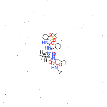 CC1(C)[C@@H]2[C@@H](C(=O)NC(CCCF)C(=O)C(=O)NC3CC3)N(C(=O)[C@@H](NC(=O)NC3(CS(=O)(=O)C(C)(C)C)CCCCC3)C3CCCCC3)C[C@@H]21